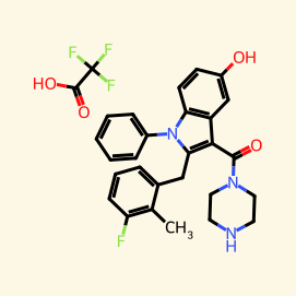 Cc1c(F)cccc1Cc1c(C(=O)N2CCNCC2)c2cc(O)ccc2n1-c1ccccc1.O=C(O)C(F)(F)F